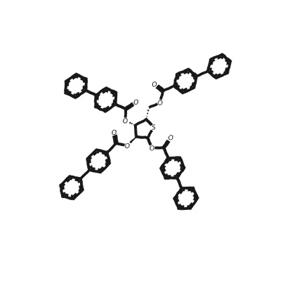 O=C(OC[C@@H]1SC(OC(=O)c2ccc(-c3ccccc3)cc2)[C@@H](OC(=O)c2ccc(-c3ccccc3)cc2)[C@@H]1OC(=O)c1ccc(-c2ccccc2)cc1)c1ccc(-c2ccccc2)cc1